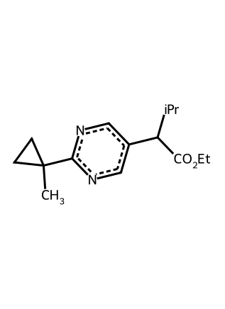 CCOC(=O)C(c1cnc(C2(C)CC2)nc1)C(C)C